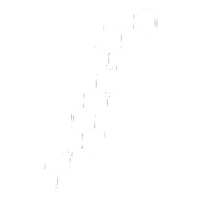 CN(C)C(CNC(=O)CC(c1ccccc1)C(C)(C)C)Cc1ccc(C(=O)NC(F)C(F)F)c(F)c1